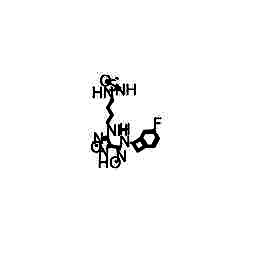 CS(=N)(=O)NCCCCNc1nonc1/C(=N\O)N[C@H]1Cc2ccc(F)cc21